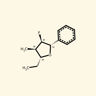 CC[C@H]1O[C@@H](c2ccccc2)[C@H](F)[C@@H]1C